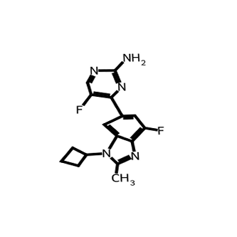 Cc1nc2c(F)cc(-c3nc(N)ncc3F)cc2n1C1CCC1